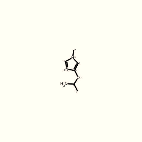 CC(N)Oc1cn(C)cn1